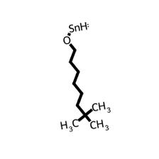 CC(C)(C)CCCCCC[O][SnH]